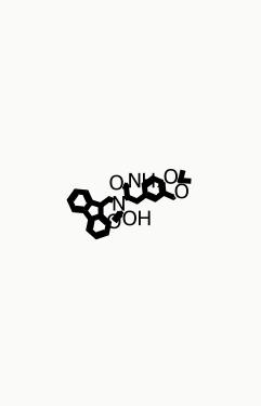 CC1(C)OCc2cc(CC(C(N)=O)N(CC3c4ccccc4-c4ccccc43)C(=O)O)ccc2O1